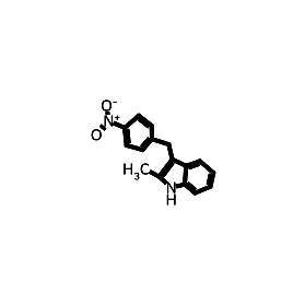 Cc1[nH]c2ccccc2c1Cc1ccc([N+](=O)[O-])cc1